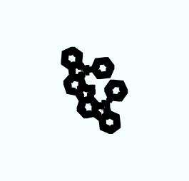 c1ccc(-n2c3ccccc3c3ccc4c5ccc6c7ccccc7n(-c7ccccc7)c6c5sc4c32)cc1